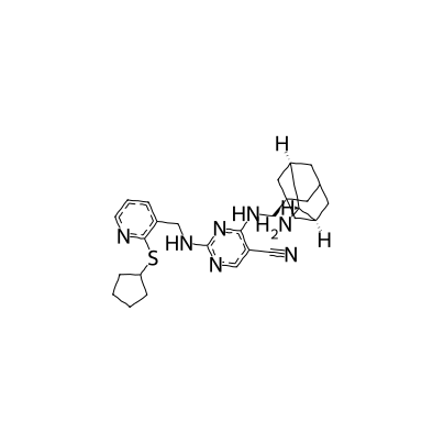 N#Cc1cnc(NCc2cccnc2SC2CCCC2)nc1NC[C@]12CC3C[C@H](C1)[C@@H](N)[C@@H](C3)C2